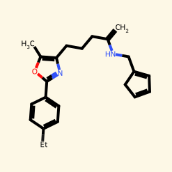 C=C(CCCc1nc(-c2ccc(CC)cc2)oc1C)NCC1=CC=CC1